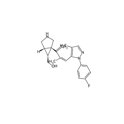 C=C(/C(C)=C\c1c(C)cnn1-c1ccc(F)cc1)[C@]12CNC[C@H]1[C@@H]2CO